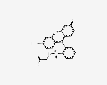 O=C(O)CNS(=O)(=O)c1ccccc1-c1c2ccc(=O)cc-2oc2cc(O)ccc12